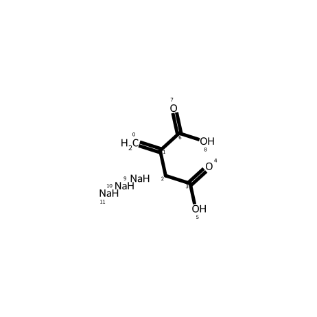 C=C(CC(=O)O)C(=O)O.[NaH].[NaH].[NaH]